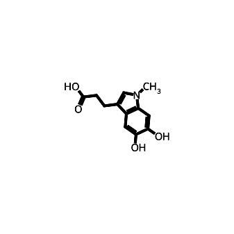 Cn1cc(CCC(=O)O)c2cc(O)c(O)cc21